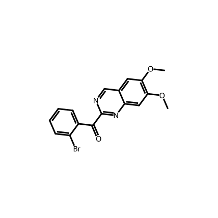 COc1cc2cnc(C(=O)c3ccccc3Br)nc2cc1OC